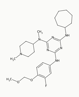 COCOc1ccc(Nc2nc(NC3CCCCCC3)nc(N(C)C3CCN(C)CC3)n2)cc1F